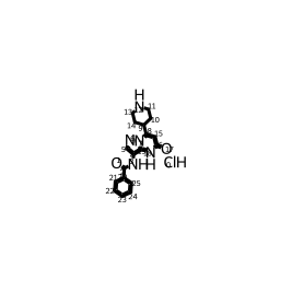 Cl.O=C(Nc1cnn2c(C3CCNCC3)cc(=O)[nH]c12)c1ccccc1